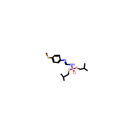 CSc1ccc(/N=C/NP(=O)(SCC(C)C)SCC(C)C)cc1